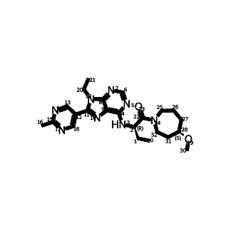 CC[C@@H](Nc1ncnc2c1nc(-c1cnc(C)nc1)n2CC)C(=O)N1CCC[C@H](OC)CC1